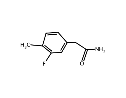 Cc1ccc(CC(N)=O)cc1F